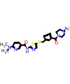 CC(=O)N1CCN(C(=O)c2cccc(CSc3cnc(NC(=O)c4ccc(N(C)C)nc4)s3)c2)CC1